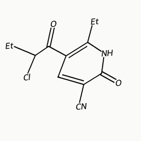 CCc1[nH]c(=O)c(C#N)cc1C(=O)C(Cl)CC